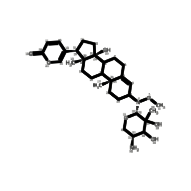 CON(C1C=C2CCC3C(CC[C@]4(C)[C@@H](c5ccc(=O)oc5)CC[C@]34O)[C@@]2(C)CC1)[C@H]1OC[C@H](N)C(O)C1(C)O